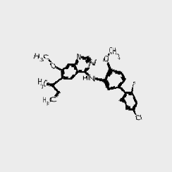 CCC(C)c1cc2c(Nc3cc(-c4ccc(Cl)cc4F)ccc3OC)ncnc2cc1OC